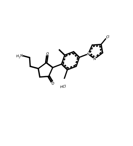 Cc1cc(-n2cc(Cl)cn2)cc(C)c1C1C(=O)CC(CCN)C1=O.Cl